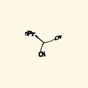 [CH2]CCC(C#N)C#N